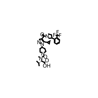 CC(C)[C@@H](C(=O)O)N(C)C(=O)N1CCC(n2ncc(C(=O)N3CCC(c4ccccc4C(F)(F)F)C3)c2C2CC2)CC1